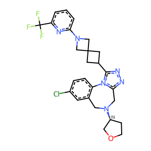 FC(F)(F)c1cccc(N2CC3(CC(c4nnc5n4-c4ccc(Cl)cc4CN([C@H]4CCOC4)C5)C3)C2)n1